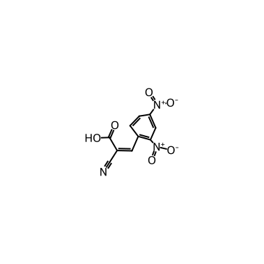 N#CC(=Cc1ccc([N+](=O)[O-])cc1[N+](=O)[O-])C(=O)O